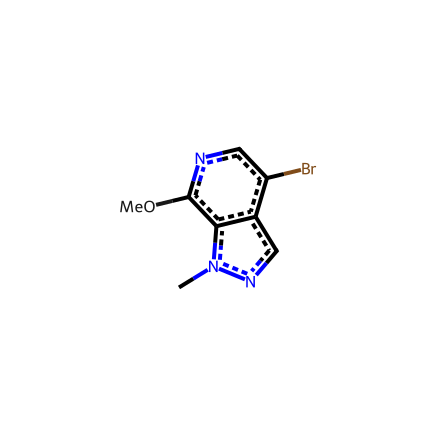 COc1ncc(Br)c2cnn(C)c12